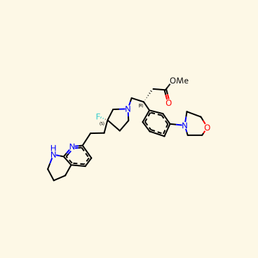 COC(=O)C[C@@H](CN1CC[C@@](F)(CCc2ccc3c(n2)NCCC3)C1)c1cccc(N2CCOCC2)c1